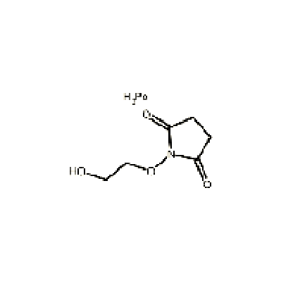 O=C1CCC(=O)N1OCCO.[PoH2]